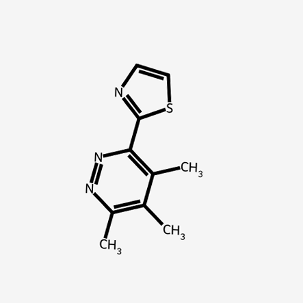 Cc1nnc(-c2nccs2)c(C)c1C